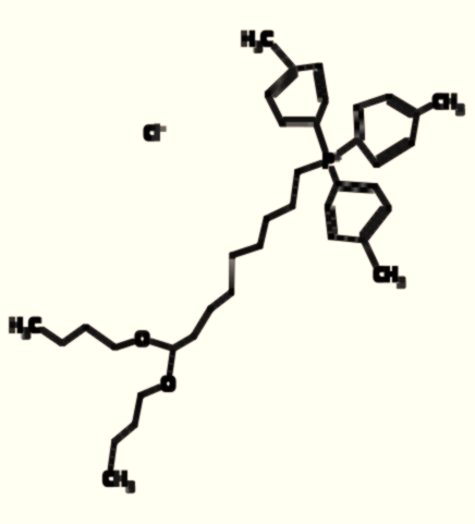 CCCCOC(CCCCCCCC[P+](c1ccc(C)cc1)(c1ccc(C)cc1)c1ccc(C)cc1)OCCCC.[Cl-]